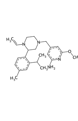 C=CN1CCN(Cc2cc(N)nc(OC)c2)CC1c1ccc(C)cc1C(C)C